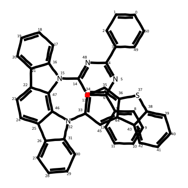 c1ccc(-c2nc(-c3ccccc3)nc(-n3c4ccccc4c4ccc5c6ccccc6n(-c6ccc7sc8ccccc8c7c6)c5c43)n2)cc1